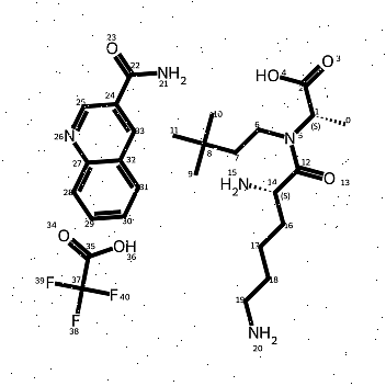 C[C@@H](C(=O)O)N(CCC(C)(C)C)C(=O)[C@@H](N)CCCCN.NC(=O)c1cnc2ccccc2c1.O=C(O)C(F)(F)F